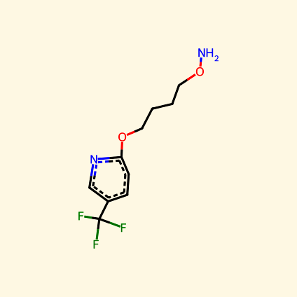 NOCCCCOc1ccc(C(F)(F)F)cn1